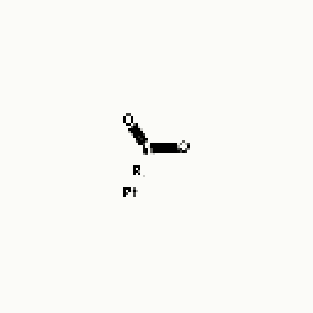 [O]=[Ir]=[O].[Pt].[Ru]